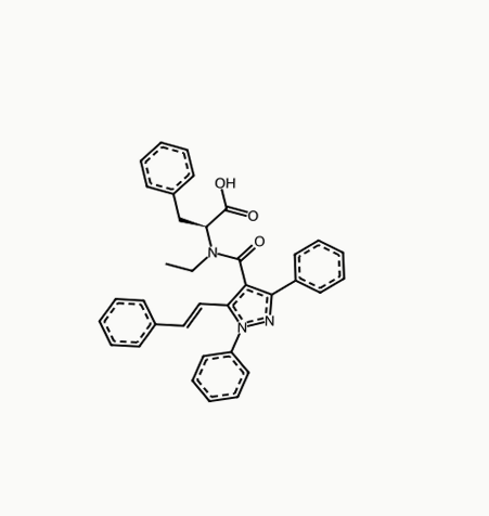 CCN(C(=O)c1c(-c2ccccc2)nn(-c2ccccc2)c1/C=C/c1ccccc1)[C@@H](Cc1ccccc1)C(=O)O